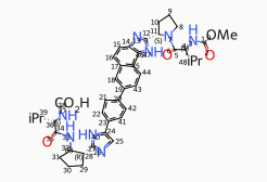 COC(=O)N[C@H](C(=O)N1CCC[C@H]1c1nc2ccc3cc(-c4ccc(-c5cnc([C@@H]6CCC[C@H]6NC(=O)[C@@H](NC(=O)O)C(C)C)[nH]5)cc4)ccc3c2[nH]1)C(C)C